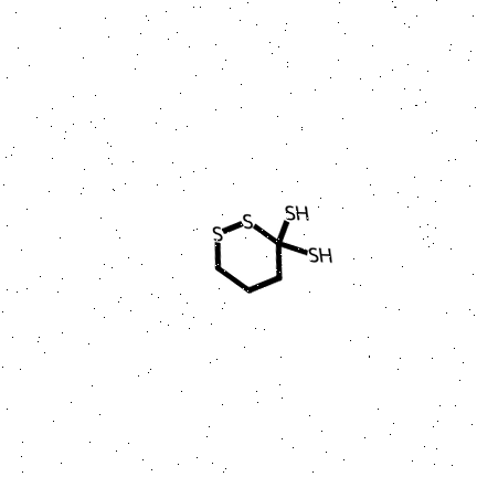 SC1(S)CCCSS1